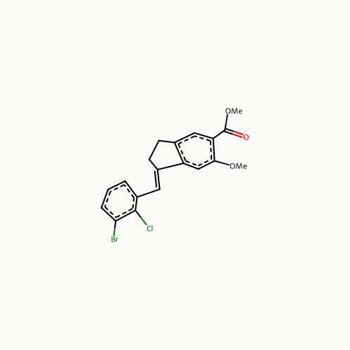 COC(=O)c1cc2c(cc1OC)/C(=C/c1cccc(Br)c1Cl)CC2